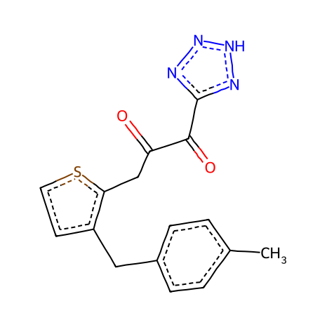 Cc1ccc(Cc2ccsc2CC(=O)C(=O)c2nn[nH]n2)cc1